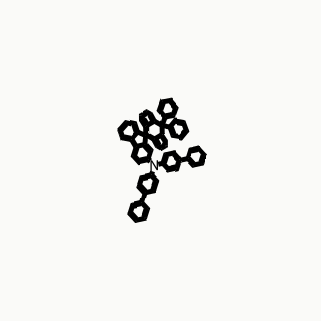 c1ccc(-c2ccc(N(c3ccc(-c4ccccc4)cc3)c3ccc4c(c3)C3(c5ccccc5-4)c4ccccc4C(c4ccccc4)(c4ccccc4)c4ccccc43)cc2)cc1